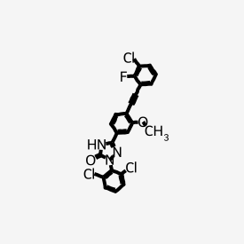 COc1cc(-c2nn(-c3c(Cl)cccc3Cl)c(=O)[nH]2)ccc1C#Cc1cccc(Cl)c1F